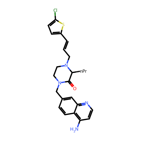 CCCC1C(=O)N(Cc2ccc3c(N)ccnc3c2)CCN1CC=Cc1ccc(Cl)s1